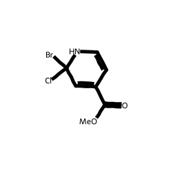 COC(=O)C1=CC(Cl)(Br)NC=C1